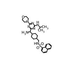 CC(C)Nc1nc(C(N)C2CCC(CNS(=O)(=O)c3cccc4ccccc34)CC2)nc(N2CCOCC2)n1